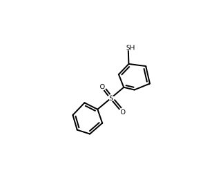 O=S(=O)(c1ccccc1)c1cccc(S)c1